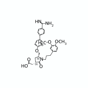 COc1ccc(CCCN2C(=O)[C@H](CC(=O)O)C[C@H]2COc2ccc(-c3ccc(C(=N)N)cc3)cc2)cc1OC